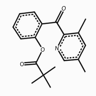 Cc1cnc(C(=O)c2ccccc2OC(=O)C(C)(C)C)c(C)c1